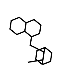 CC1C2CCC(CC2)C1CC1CCCC2CCCCC21